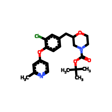 Cc1cc(Oc2ccc(CC3CN(C(=O)OC(C)(C)C)CCO3)cc2Cl)ccn1